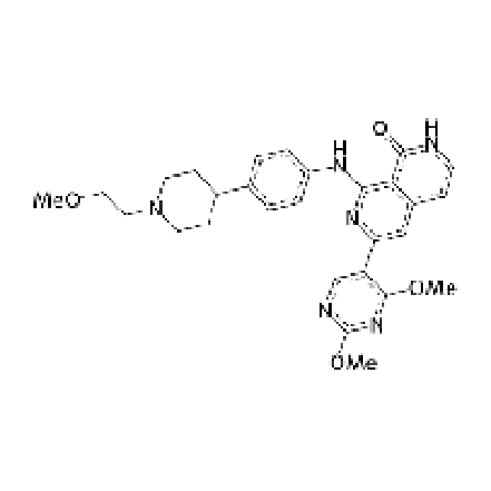 COCCN1CCC(c2ccc(Nc3nc(-c4cnc(OC)nc4OC)cc4cc[nH]c(=O)c34)cc2)CC1